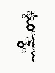 CCCCSCCN(CCOc1ccc(CC(OCC)C(=O)O)cc1)C(=O)Nc1ccccc1OC